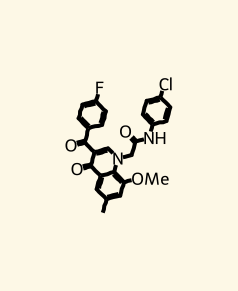 COc1cc(C)cc2c(=O)c(C(=O)c3ccc(F)cc3)cn(CC(=O)Nc3ccc(Cl)cc3)c12